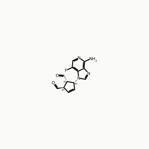 Nc1ncc(F)c2c1ncn2[C@@H]1C=C[C@@H](C=O)[C@@H]1C=O